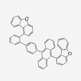 c1ccc(-c2cccc3oc4ccccc4c23)c(-c2ccc(-c3c4ccccc4c(-c4cccc5oc6ccccc6c45)c4ccccc34)cc2)c1